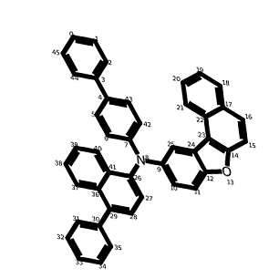 c1ccc(-c2ccc(N(c3ccc4oc5ccc6ccccc6c5c4c3)c3ccc(-c4ccccc4)c4ccccc34)cc2)cc1